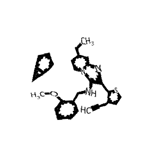 C#Cc1ccsc1-c1nc2cc(CC)ccn2c1NCc1ccccc1OC.c1cc2cc-2c1